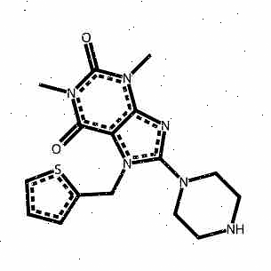 Cn1c(=O)c2c(nc(N3CCNCC3)n2Cc2cccs2)n(C)c1=O